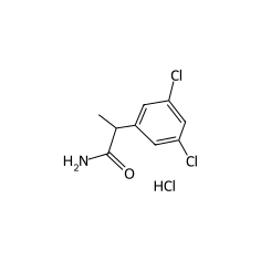 CC(C(N)=O)c1cc(Cl)cc(Cl)c1.Cl